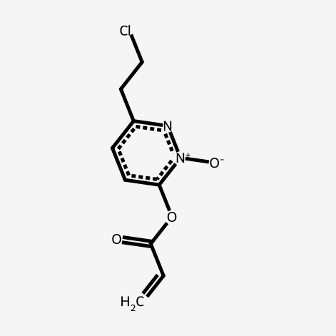 C=CC(=O)Oc1ccc(CCCl)n[n+]1[O-]